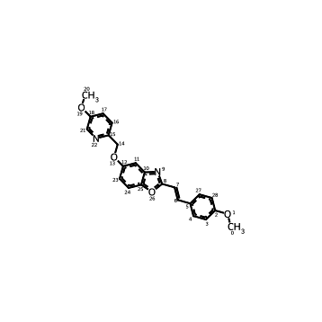 COc1ccc(C=Cc2nc3cc(OCc4ccc(OC)cn4)ccc3o2)cc1